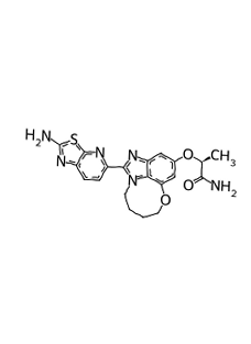 C[C@H](Oc1cc2c3c(c1)nc(-c1ccc4nc(N)sc4n1)n3CCCCO2)C(N)=O